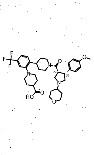 COc1ccc([C@@H]2CN(C3CCOCC3)C[C@H]2C(=O)N2CCC(c3ccc(C(F)(F)F)cc3N3CCC(C(=O)O)CC3)CC2)cc1